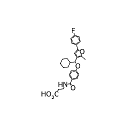 Cc1oc(-c2ccc(F)cc2)cc1C(Oc1ccc(C(=O)NCCC(=O)O)cc1)C1CCCCC1